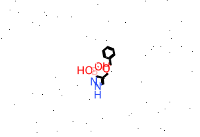 OB(O)c1n[nH]cc1COCc1ccccc1